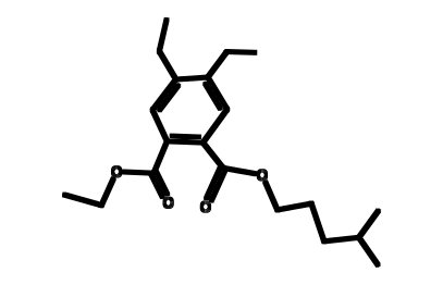 CCOC(=O)c1cc(CC)c(CC)cc1C(=O)OCCCC(C)C